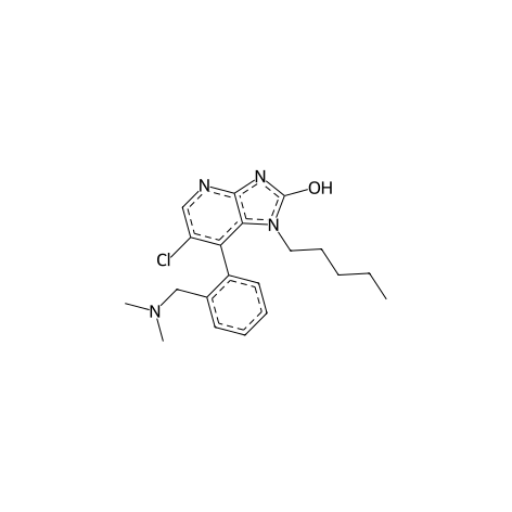 CCCCCn1c(O)nc2ncc(Cl)c(-c3ccccc3CN(C)C)c21